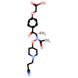 CC(=O)N(OC1CCN(CCC#N)CC1)[C@@H](C)C(=O)c1ccc(OCC(=O)O)cc1